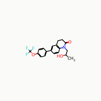 CC(O)CN1C(=O)CCc2cc(-c3ccc(OC(F)(F)F)cc3)ccc21